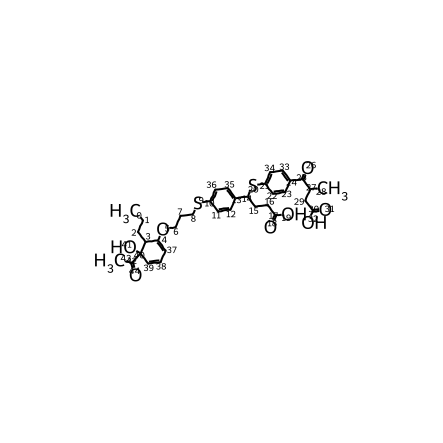 CCCC1C(OCCCSc2ccc(C(CCC(=O)O)Sc3ccc(C(=O)C(C)CC(=O)O)cc3)cc2)=CC=CC1(O)C(C)=O